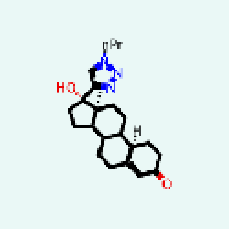 CCCn1cc([C@]2(O)CCC3C4CCC5=CC(=O)CC[C@@H]5C4CC[C@@]32C)nn1